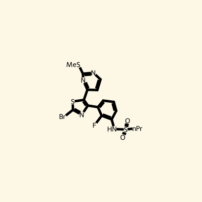 CCCS(=O)(=O)Nc1cccc(-c2nc(Br)sc2-c2ccnc(SC)n2)c1F